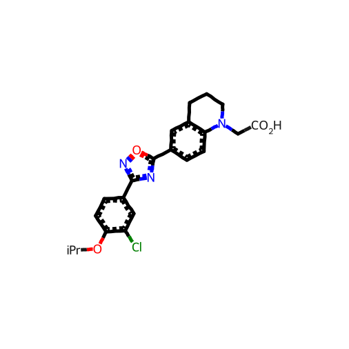 CC(C)Oc1ccc(-c2noc(-c3ccc4c(c3)CCCN4CC(=O)O)n2)cc1Cl